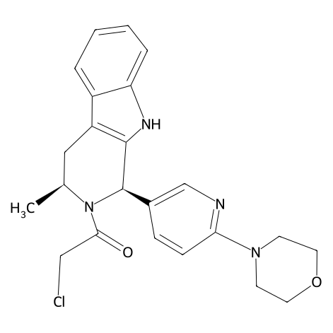 C[C@H]1Cc2c([nH]c3ccccc23)[C@@H](c2ccc(N3CCOCC3)nc2)N1C(=O)CCl